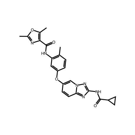 Cc1nc(C(=O)Nc2cc(Oc3ccc4nc(NC(=O)C5CC5)nn4c3)ccc2C)c(C)o1